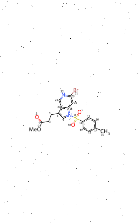 COC(=O)CCc1cn(S(=O)(=O)c2ccc(C)cc2)c2cc(Br)ncc12